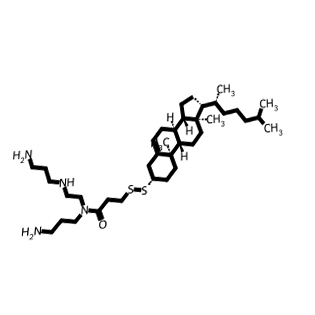 CC(C)CCC[C@@H](C)[C@H]1CC[C@H]2[C@@H]3CC=C4C[C@@H](SSCCC(=O)N(CCCN)CCNCCCN)CC[C@]4(C)[C@H]3CC[C@]12C